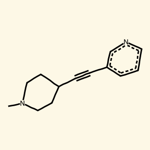 CN1CCC(C#Cc2cccnc2)CC1